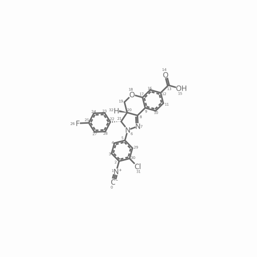 [C-]#[N+]c1ccc(N2N=C3c4ccc(C(=O)O)cc4OC[C@H]3[C@H]2c2ccc(F)cc2)cc1Cl